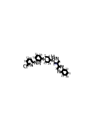 N=C/C(=C\NC1CCN(c2cccc(Nc3cccc(Cl)n3)c2)CC1)c1cnc2ccccc2n1